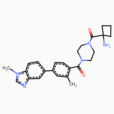 Cc1cc(-c2ccc3c(c2)ncn3C)ccc1C(=O)N1CCN(C(=O)C2(N)CCC2)CC1